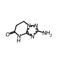 Nc1nc2n(n1)CCC(=O)N2